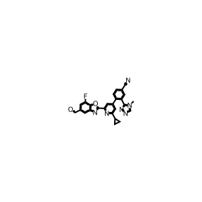 Cn1cnnc1-c1cc(C#N)ccc1-c1cc(-c2nc3cc(C=O)cc(F)c3o2)nc(C2CC2)c1